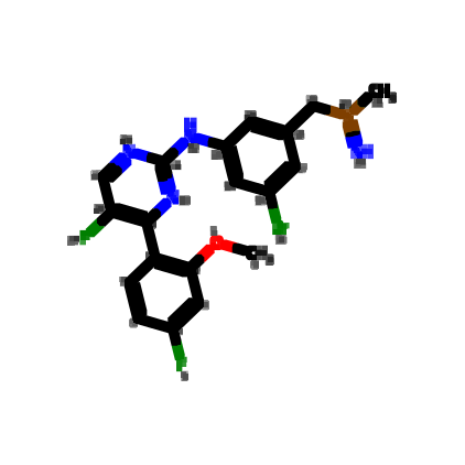 COc1cc(F)ccc1-c1nc(Nc2cc(Br)cc(CS(C)=N)c2)ncc1F